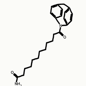 NC(=O)CCCCCCCCCCC(=O)N1c2ccc(cc2)Cc2ccc1cc2